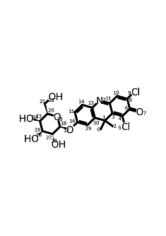 CC1(C)C2=C(Cl)C(=O)C(Cl)=CC2=Nc2ccc(O[C@@H]3O[C@H](CO)[C@H](O)[C@H](O)[C@H]3O)cc21